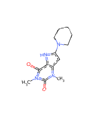 Cn1c(=O)c2[nH]c(N3CCCCC3)cc2n(C)c1=O